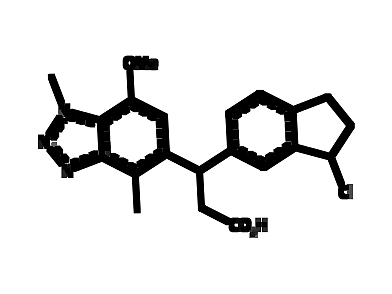 COc1cc(C(CC(=O)O)c2ccc3c(c2)C(Cl)CC3)c(C)c2nnn(C)c12